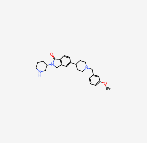 CC(C)Oc1cccc(CN2CCC(c3ccc4c(c3)CN(C3CCCNC3)C4=O)CC2)c1